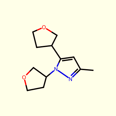 Cc1cc(C2CCOC2)n(C2CCOC2)n1